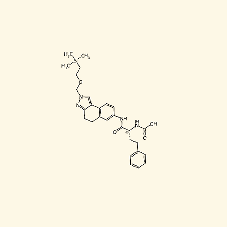 C[Si](C)(C)CCOCn1cc2c(n1)CCc1cc(NC(=O)[C@@H](CCc3ccccc3)NC(=O)O)ccc1-2